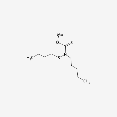 CCCCCN(SCCCC)C(=S)[O][Mo]